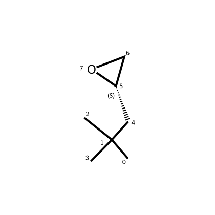 CC(C)(C)C[C@H]1CO1